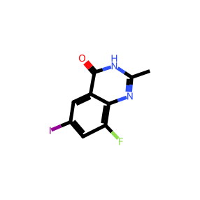 Cc1nc2c(F)cc(I)cc2c(=O)[nH]1